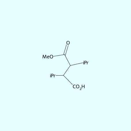 COC(=O)C(C(C)C)C(C(=O)O)C(C)C